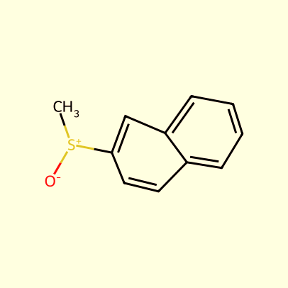 C[S+]([O-])c1ccc2ccccc2c1